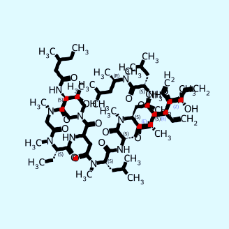 C=C/C=C(\C=C)C[C@@H](C(=O)N[C@@H](CC(C)C)C(=O)N(C)[C@H](C)CC(C)C)N(C)C(=O)[C@H](CC(C)C)N(C)C(=O)[C@H](C/C=C/C=C(\C=C)C(=O)N(C)O)NC(=O)[C@H](CC(C)C)N(C)C(=O)CC(NC(=O)[C@H](CC)N(C)C(=O)CN(C)C(=O)[C@@H](NC(=O)CC(C)CC)C(C)O)C(=O)N1CCCCC1